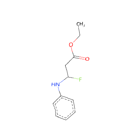 CCOC(=O)CC(F)Nc1ccccc1